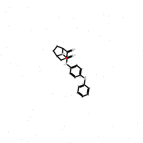 O=C1CCC2CCC1N2C(=S)Sc1ccc(Oc2ccccc2)cc1